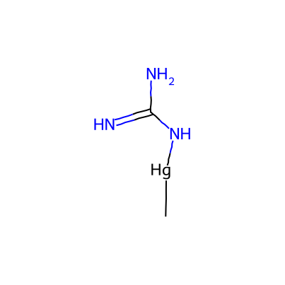 [CH3][Hg][NH]C(=N)N